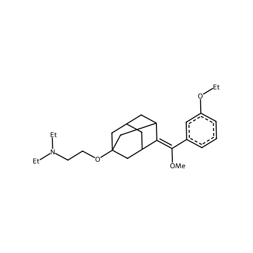 CCOc1cccc(C(OC)=C2C3CC4CC2CC(OCCN(CC)CC)(C4)C3)c1